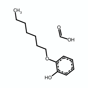 CCCCCCCOc1ccccc1O.O=CO